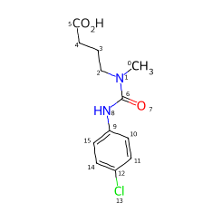 CN(CCCC(=O)O)C(=O)Nc1ccc(Cl)cc1